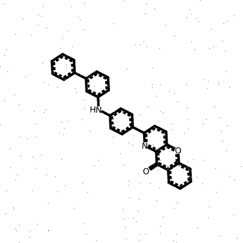 O=c1c2ccccc2oc2ccc(-c3ccc(Nc4cccc(-c5ccccc5)c4)cc3)nc12